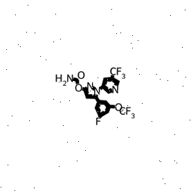 NC(=O)Oc1cc(-c2cc(F)cc(OC(F)(F)F)c2)n(-c2cncc(C(F)(F)F)c2)n1